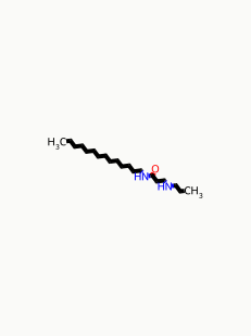 CCCCCCCCCCCCCCNC(=O)CCNCCC